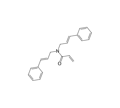 C=CC(=O)N(CC=Cc1ccccc1)CC=Cc1ccccc1